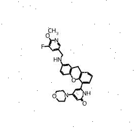 COc1ncc(CNc2ccc3c(c2)Cc2cccc(-c4cc(N5CCOCC5)cc(=O)[nH]4)c2O3)cc1F